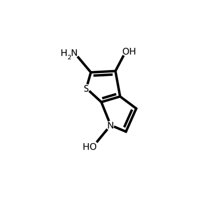 Nc1sc2c(ccn2O)c1O